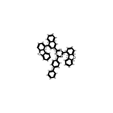 C1=CC2Oc3ccccc3C2C(c2cc(-c3nc(-c4ccc(-c5ccccc5)cc4)nc(-c4cccc5oc6ccccc6c45)n3)cc3ccccc23)=C1